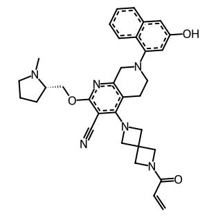 C=CC(=O)N1CC2(C1)CN(c1c(C#N)c(OC[C@@H]3CCCN3C)nc3c1CCN(c1cc(O)cc4ccccc14)C3)C2